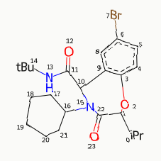 CC(C)C1Oc2ccc(Br)cc2C(C(=O)NC(C)(C)C)N(C2CCCCC2)C1=O